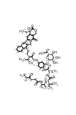 CC[C@@]1(O)C(=O)OCc2c1cc1n(c2=O)Cc2c-1nc1ccccc1c2CCN(C(=O)OCc1ccc(NC(=O)[C@H](C)NC(=O)[C@@H](NC(=O)[C@H](C)NC(=O)CCC(=O)NC)C(C)C)c(O[C@@H]2O[C@H](C(=O)O)[C@@H](O)[C@H](O)[C@H]2O)c1)C(C)C